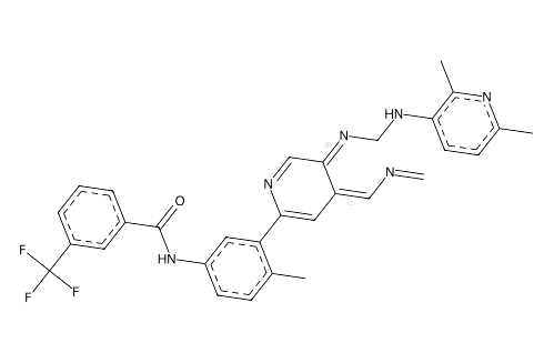 C=N/C=C1/C=C(c2cc(NC(=O)c3cccc(C(F)(F)F)c3)ccc2C)N=C/C1=N/CNc1ccc(C)nc1C